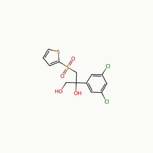 O=S(=O)(CC(O)(CO)c1cc(Cl)cc(Cl)c1)c1cccs1